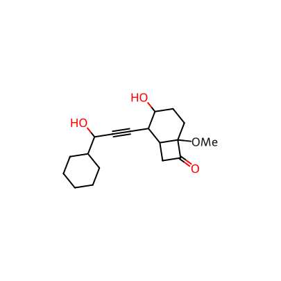 COC12CCC(O)C(C#CC(O)C3CCCCC3)C1CC2=O